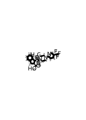 CC1CN(c2ccc(C(F)(F)F)cn2)CCN1S(=O)(=O)C1c2ccccc2C[C@H]1C(=O)O